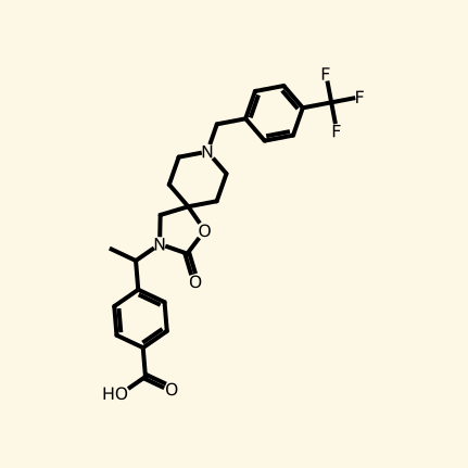 CC(c1ccc(C(=O)O)cc1)N1CC2(CCN(Cc3ccc(C(F)(F)F)cc3)CC2)OC1=O